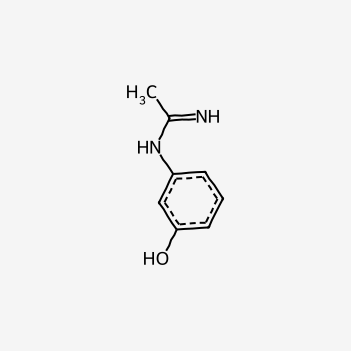 CC(=N)Nc1cccc(O)c1